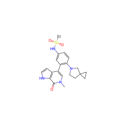 CCS(=O)(=O)Nc1ccc(N2CCC3(CC3)C2)c(-c2cn(C)c(=O)c3[nH]ccc23)c1